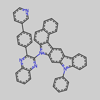 c1ccc(-n2c3ccccc3c3cc4c5c6ccccc6ccc5n(-c5nc6ccccc6nc5-c5ccc(-c6cccnc6)cc5)c4cc32)cc1